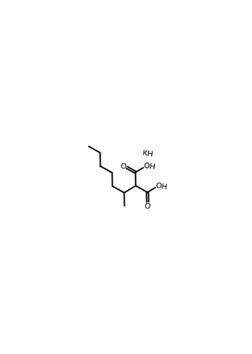 CCCCCC(C)C(C(=O)O)C(=O)O.[KH]